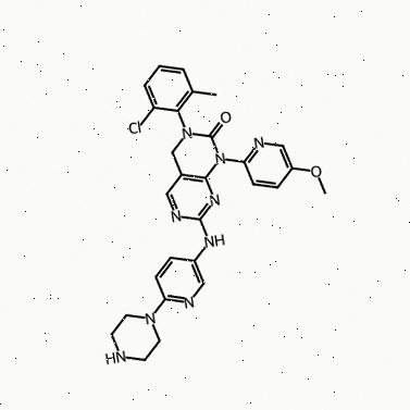 COc1ccc(N2C(=O)N(c3c(C)cccc3Cl)Cc3cnc(Nc4ccc(N5CCNCC5)nc4)nc32)nc1